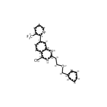 FC(F)(F)c1cccnc1-c1ccc2c(Cl)nc(CCOCc3ccccc3)nc2c1